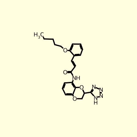 CCCCCOc1ccccc1C=CC(=O)Nc1cccc2c1OC(c1nnn[nH]1)CO2